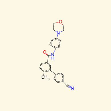 Cc1ccc(C(=O)Nc2ccc(N3CCOCC3)cc2)cc1-c1ccc(C#N)cc1